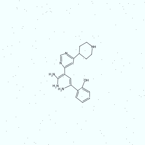 NC(N)=C(/C=C(\N)c1ccccc1O)c1cc(C2CCNCC2)ncn1